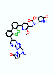 COc1nc(-c2cccc(-c3cccc(-c4cnc5nc(CN(C)[C@H]6CCC(=O)N6)nn5c4)c3Cl)c2Cl)ccc1CN(C[C@@H]1CCC(=O)N1)C(=O)O